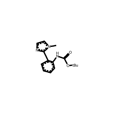 Cn1ccnc1-c1ccccc1NC(=O)OC(C)(C)C